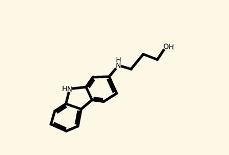 OCCCNc1ccc2c(c1)[nH]c1ccccc12